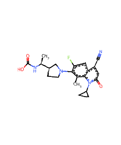 Cc1c(N2CC[C@@H]([C@H](C)NC(=O)O)C2)c(F)cc2c(C#N)cc(=O)n(C3CC3)c12